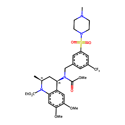 CCOC(=O)N1c2cc(OC)c(OC)cc2[C@H](N(Cc2cc(C(F)(F)F)cc(S(=O)(=O)N3CCN(C)CC3)c2)C(=O)OC)C[C@@H]1C